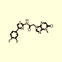 Cn1c(=O)cnc2c1ncn2CC(=O)Nc1nc(-c2ccc(F)c(F)c2)cs1